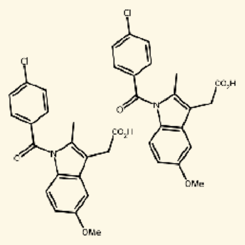 COc1ccc2c(c1)c(CC(=O)O)c(C)n2C(=O)c1ccc(Cl)cc1.COc1ccc2c(c1)c(CC(=O)O)c(C)n2C(=O)c1ccc(Cl)cc1